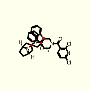 Cc1nc2ccccc2n1C1C[C@H]2CC[C@@H](C1)N2CCC1(c2ccccc2)CCN(C(=O)c2ccc(Cl)nc2Cl)CC1